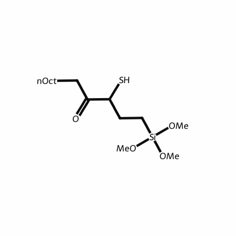 CCCCCCCCCC(=O)C(S)CC[Si](OC)(OC)OC